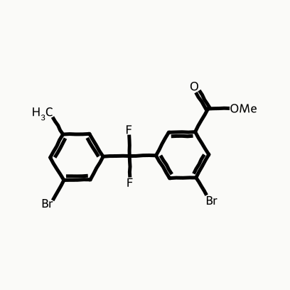 COC(=O)c1cc(Br)cc(C(F)(F)c2cc(C)cc(Br)c2)c1